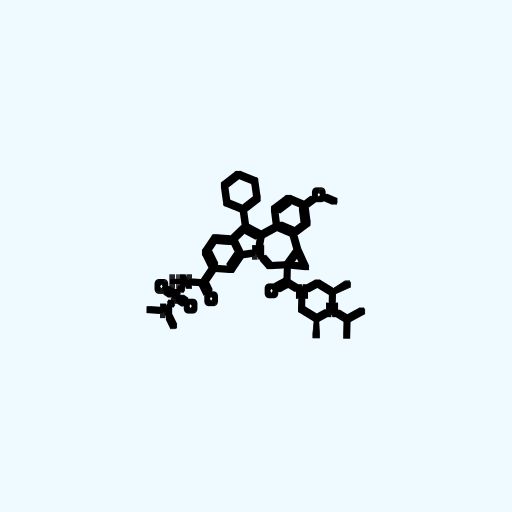 COc1ccc2c(c1)C1CC1(C(=O)N1C[C@@H](C)N(C(C)C)[C@@H](C)C1)Cn1c-2c(C2CCCCC2)c2ccc(C(=O)NS(=O)(=O)N(C)C)cc21